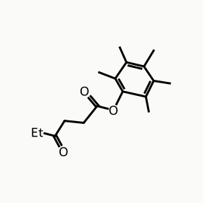 CCC(=O)CCC(=O)Oc1c(C)c(C)c(C)c(C)c1C